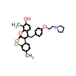 Cc1ccc(-c2c(Cc3ccc(OCCN4CCCC4)cc3)c3ccc(O)c(C)c3oc2=O)c(Cl)c1